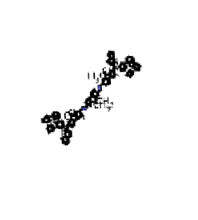 CC1(C)c2cc(/C=C/c3ccc4c(c3)C(C)(C)c3cc(N(c5ccc([Si](c6ccccc6)(c6ccccc6)c6ccccc6)cc5)c5ccc6ccccc6n5)ccc3-4)ccc2-c2ccc(/C=C/c3ccc4c(c3)C(C)(C)c3cc(N(c5ccc([Si](c6ccccc6)(c6ccccc6)c6ccccc6)cc5)c5ccc6ccccc6n5)ccc3-4)cc21